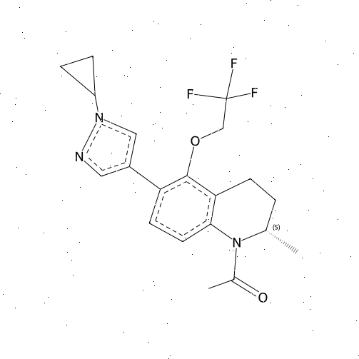 CC(=O)N1c2ccc(-c3cnn(C4CC4)c3)c(OCC(F)(F)F)c2CC[C@@H]1C